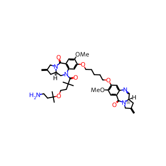 C=C1C[C@H]2CN(C(=O)C(C)(C)CCOC(C)(C)CCN)c3cc(OCCCCCOc4cc5c(cc4OC)C(=O)N4CC(=C)C[C@H]4C=N5)c(OC)cc3C(=O)N2C1